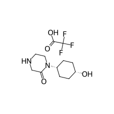 O=C(O)C(F)(F)F.O=C1CNCCN1[C@H]1CC[C@@H](O)CC1